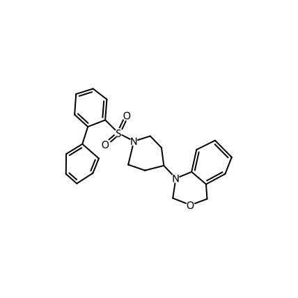 O=S(=O)(c1ccccc1-c1ccccc1)N1CCC(N2COCc3ccccc32)CC1